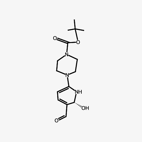 CC(C)(C)OC(=O)N1CCN(C2=CC=C(C=O)[C@@H](O)N2)CC1